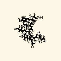 CCC(C)C(C(=O)NC(C)C(=O)N(C)C(CC(C)C)C(=O)NC(Cc1ccc(OC)cc1)C(=O)N(C)C(C)C(=O)O)C(C)C(=O)C(COC)N(C)C(=O)C(C(C)O)N(C)C(=O)C(CC(C)C)N(C)C(=O)C(COC)N(C)C(=O)C(O)C(C)C